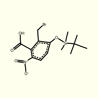 CC(C)(C)[Si](C)(C)Oc1ccc([N+](=O)[O-])c(C(=O)O)c1CBr